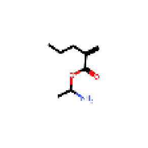 C=C(CCC)C(=O)OC(C)N